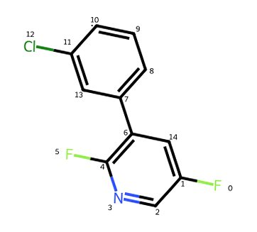 Fc1cnc(F)c(-c2cc[c]c(Cl)c2)c1